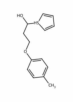 Cc1ccc(OCCC(O)[SH]2C=CC=C2)cc1